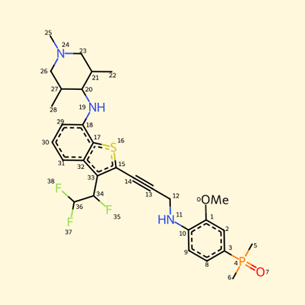 COc1cc(P(C)(C)=O)ccc1NCC#Cc1sc2c(NC3C(C)CN(C)CC3C)cccc2c1C(F)C(F)F